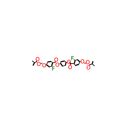 C=C(C)C(=O)OCOc1ccc(C(=O)Oc2ccc(OC(=O)c3ccc(OCOC(=O)C(=C)C)cc3F)cc2)c(F)c1